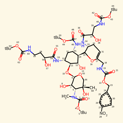 CN(C(=O)OC(C)(C)C)[C@@H]1[C@@H](O)[C@@H](O[C@@H]2[C@@H](O)[C@H](C3OC(CNC(=O)OCc4ccc([N+](=O)[O-])cc4)=CC[C@H]3NC(=O)C(O)CNC(=O)OC(C)(C)C)[C@@H](NC(=O)OC(C)(C)C)C[C@H]2NC(=O)[C@@H](O)CCNC(=O)OC(C)(C)C)OC[C@]1(C)O